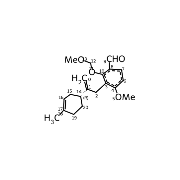 C=C(Cc1c(OC)ccc(C=O)c1OCOC)[C@H]1CC=C(C)CC1